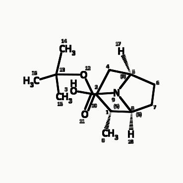 C[C@@H]1C(O)C[C@H]2CC[C@@H]1N2C(=O)OC(C)(C)C